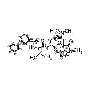 CC(C)C[C@H](NC(=O)C(NC(=O)c1cccc(-c2ccccc2)n1)[C@@H](C)O)B1OC(=O)C[C@@](CC(=O)N(C)C)(C(=O)N(C)C)O1